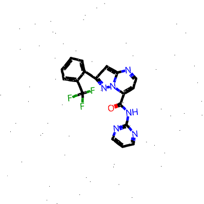 O=C(Nc1ncccn1)c1ccnc2cc(-c3ccccc3C(F)(F)F)nn12